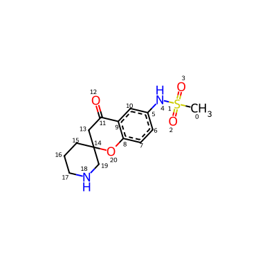 CS(=O)(=O)Nc1ccc2c(c1)C(=O)CC1(CCCNC1)O2